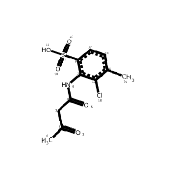 CC(=O)CC(=O)Nc1c(S(=O)(=O)O)ccc(C)c1Cl